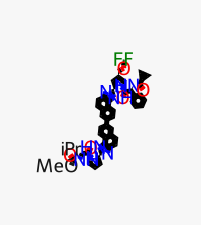 COC(=O)NC(C(=O)N1CCC[C@H]1c1nc2ccc3cc(-c4ccc5c(ccc6nc([C@@H]7C[C@H](COC(F)F)CN7C(=O)[C@H](NC(=O)C7CC7)c7ccccc7)[nH]c65)c4)ccc3c2[nH]1)C(C)C